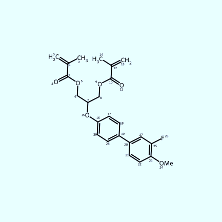 C=C(C)C(=O)OCC(COC(=O)C(=C)C)Oc1ccc(-c2ccc(OC)c(F)c2)cc1